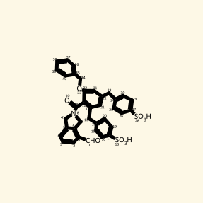 O=Cc1cccc2c1CN(C(=O)c1c(Cc3ccc(S(=O)(=O)O)cc3)cc(Cc3ccc(S(=O)(=O)O)cc3)cc1OCc1ccccc1)C2